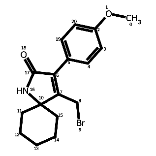 COc1ccc(C2=C(CBr)C3(CCCCC3)NC2=O)cc1